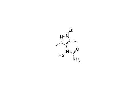 CCn1nc(C)c(N(S)C(N)=O)c1C